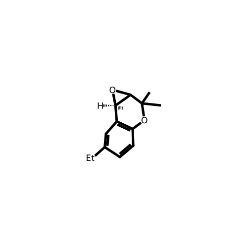 CCc1ccc2c(c1)[C@H]1OC1C(C)(C)O2